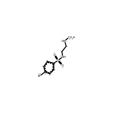 O=C(O)NCCNS(=O)(=O)c1ccc(Br)cc1